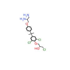 CC(C)(c1ccc(OCC(N)CN)cc1)c1cc(Cl)c(OCC(O)CCl)c(Cl)c1